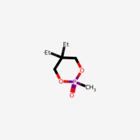 C[CH]C1(CC)COP(C)(=O)OC1